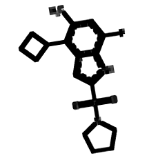 Cc1cc(F)c2[nH]c(S(=O)(=O)N3CCCC3)cc2c1C1CCC1